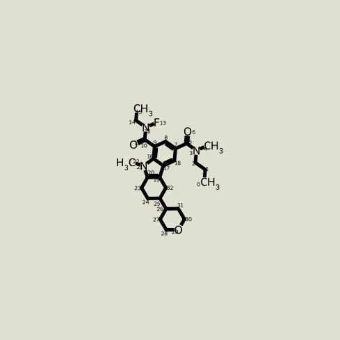 CCCN(C)C(=O)c1cc(C(=O)N(F)CC)c2c(c1)c1c(n2C)CCC(C2CCOCC2)C1